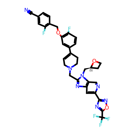 N#Cc1ccc(COc2cc(C3=CCN(Cc4nc5cc(-c6noc(C(F)(F)F)n6)ncc5n4C[C@@H]4CCO4)CC3)ccc2F)c(F)c1